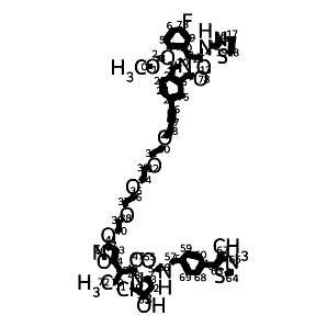 COCOc1ccc(F)cc1C(C(=O)Nc1nccs1)N1Cc2ccc(C#CCOCCOCCOCCOCCOc3cc(C(C(=O)N4C[C@H](O)C[C@H]4C(=O)NCc4ccc(-c5scnc5C)cc4)C(C)C)on3)cc2C1=O